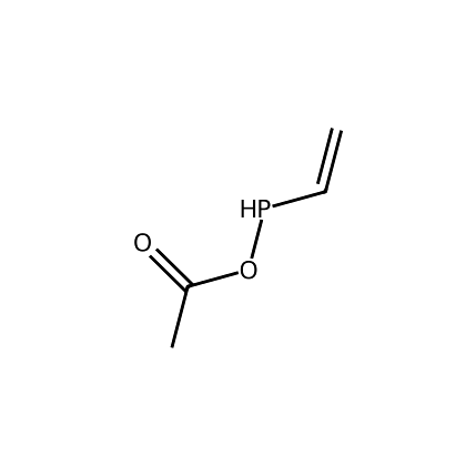 C=CPOC(C)=O